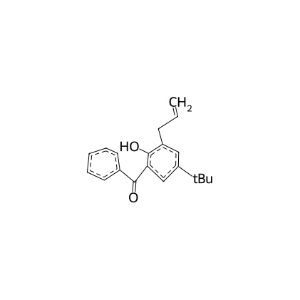 C=CCc1cc(C(C)(C)C)cc(C(=O)c2ccccc2)c1O